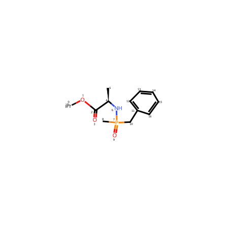 CC(C)OC(=O)[C@@H](C)NP(C)(=O)Cc1ccccc1